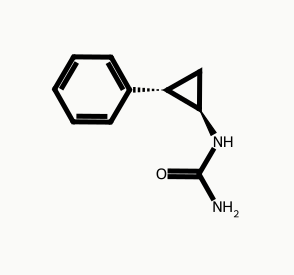 NC(=O)N[C@@H]1C[C@H]1c1ccccc1